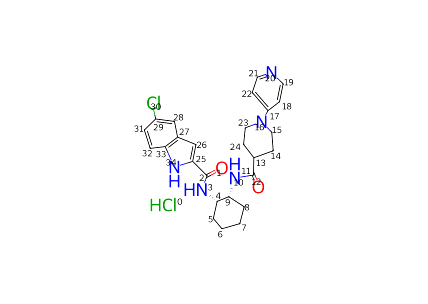 Cl.O=C(N[C@H]1CCCC[C@H]1NC(=O)C1CCN(c2ccncc2)CC1)c1cc2cc(Cl)ccc2[nH]1